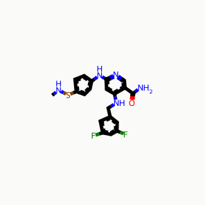 CNSc1ccc(Nc2cc(NCc3cc(F)cc(F)c3)c(C(N)=O)cn2)cc1